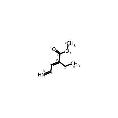 CC/C(=C\C=N)C(=O)OC